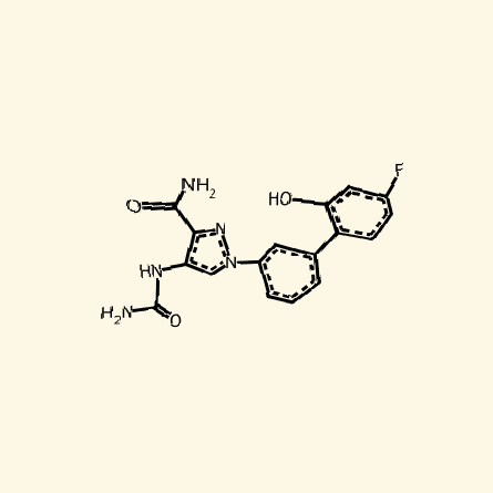 NC(=O)Nc1cn(-c2cccc(-c3ccc(F)cc3O)c2)nc1C(N)=O